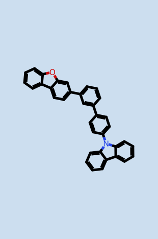 c1cc(-c2ccc(-n3c4ccccc4c4ccccc43)cc2)cc(-c2ccc3c(c2)oc2ccccc23)c1